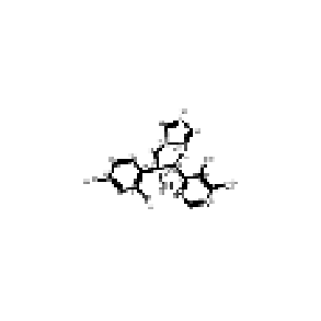 C[C@@H](c1ncnc(Cl)c1F)[C@@](O)(Cn1cncn1)c1ccc(F)cc1F